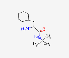 CC(C)(C)NC(=O)C(N)CC1CCCCC1